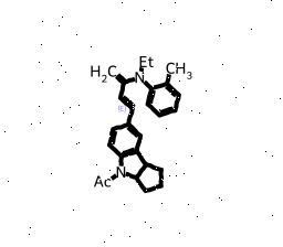 C=C(/C=C/c1ccc2c(c1)C1CCCC1N2C(C)=O)N(CC)c1ccccc1C